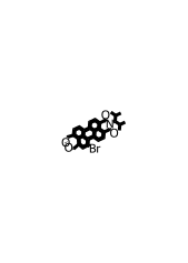 CC(C)C(C(C)C)N1C(=O)c2ccc3c4ccc5c6c(cc(Br)c(c7ccc(c2c37)C1=O)c64)COOC5